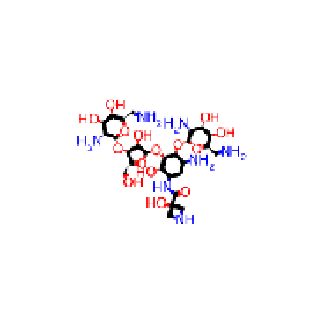 NC[C@@H]1O[C@H](O[C@H]2[C@@H](O)[C@H](O[C@@H]3[C@@H](O)[C@H](NC(=O)C4(O)CNC4)C[C@H](N)[C@H]3O[C@H]3O[C@H](CN)[C@@H](O)[C@@H](O)[C@H]3N)O[C@@H]2CO)[C@H](N)[C@@H](O)[C@@H]1O